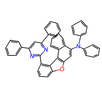 c1ccc(-c2cc(-c3ccccc3)nc(-c3cccc4oc5cc(N(c6ccccc6)c6ccccc6)c6ccccc6c5c34)n2)cc1